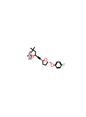 C[SiH](C)OC(C#C[C@@H]1CC[C@@H](COc2ccc(F)cc2)O1)CC(C)(C)C